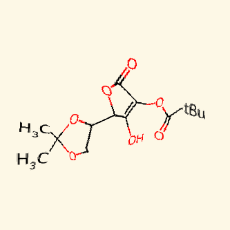 CC1(C)OCC(C2OC(=O)C(OC(=O)C(C)(C)C)=C2O)O1